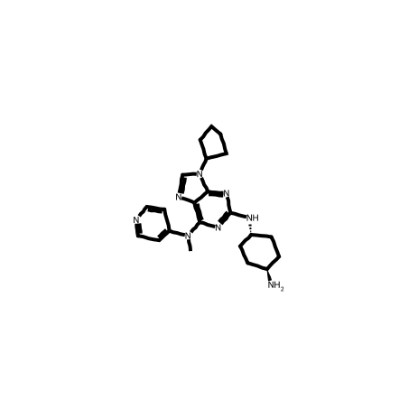 CN(c1ccncc1)c1nc(N[C@H]2CC[C@H](N)CC2)nc2c1ncn2C1CCCC1